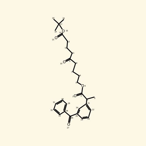 CC(C(=O)OCCCCC(=O)CCCC(=O)OC(C)(C)C)c1cccc(C(=O)c2ccccc2)c1